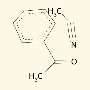 CC#N.CC(=O)c1ccccc1